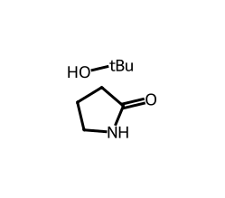 CC(C)(C)O.O=C1CCCN1